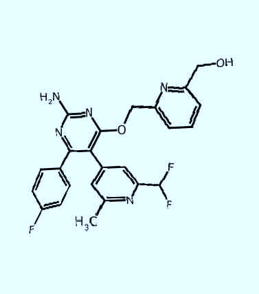 Cc1cc(-c2c(OCc3cccc(CO)n3)nc(N)nc2-c2ccc(F)cc2)cc(C(F)F)n1